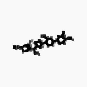 CN1CC2CC1[C@H](F)[C@@H]2N(C)c1nnc(-c2ccc(-c3ncn(C)c(=O)n3)cc2O)s1